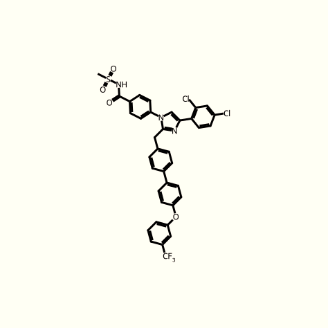 CS(=O)(=O)NC(=O)c1ccc(-n2cc(-c3ccc(Cl)cc3Cl)nc2Cc2ccc(-c3ccc(Oc4cccc(C(F)(F)F)c4)cc3)cc2)cc1